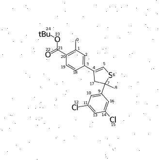 Cc1cc(C2=CSC(C)(c3cc(Cl)cc(Cl)c3)C2)ccc1C(=O)OC(C)(C)C